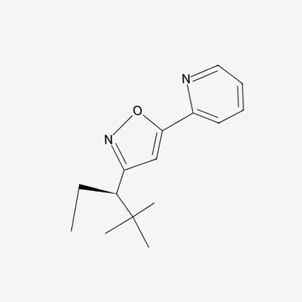 CC[C@@H](c1cc(-c2ccccn2)on1)C(C)(C)C